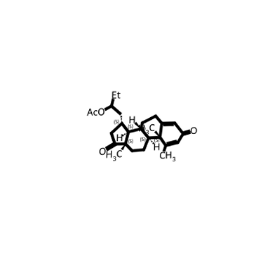 CCC(C[C@H]1CC(=O)[C@@]2(C)CC[C@H]3[C@@H](CCC4=CC(=O)C=C(C)[C@@]43C)[C@H]12)OC(C)=O